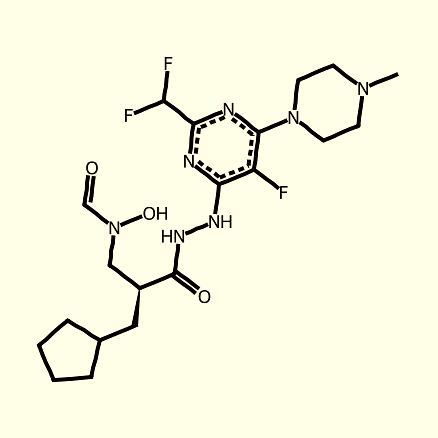 CN1CCN(c2nc(C(F)F)nc(NNC(=O)[C@@H](CC3CCCC3)CN(O)C=O)c2F)CC1